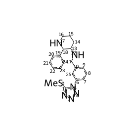 CSc1nnnn1-c1cccc(CNC2CCCNC2c2ccccc2)c1